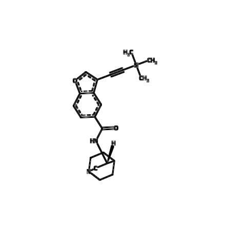 C[Si](C)(C)C#Cc1coc2ccc(C(=O)N[C@H]3CN4CCC3CC4)cc12